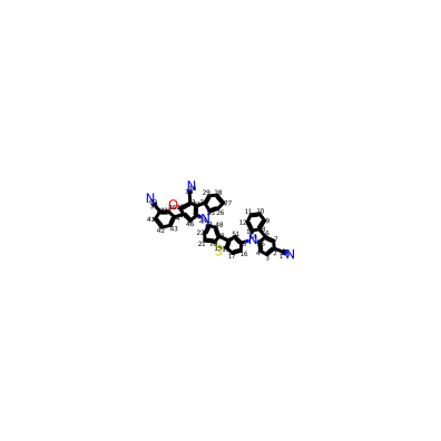 N#Cc1ccc2c(c1)c1ccccc1n2-c1ccc2sc3ccc(-n4c5ccccc5c5c(C#N)c6oc7c(C#N)cccc7c6cc54)cc3c2c1